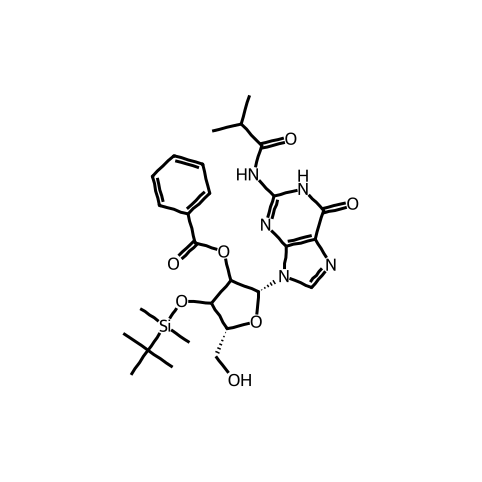 CC(C)C(=O)Nc1nc2c(ncn2[C@@H]2O[C@H](CO)C(O[Si](C)(C)C(C)(C)C)C2OC(=O)c2ccccc2)c(=O)[nH]1